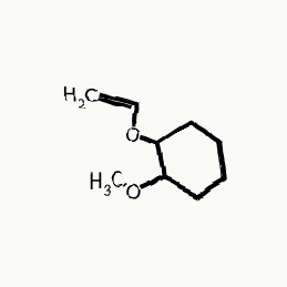 C=COC1CCCCC1OC